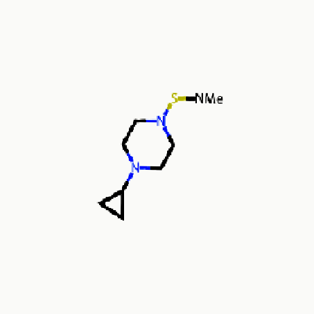 CNSN1CCN(C2CC2)CC1